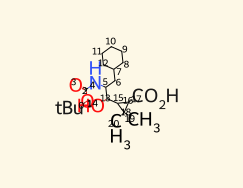 CC(C)(C)OC(=O)NC(CC1CCCCC1)C(O)C1C(C(=O)O)C1(C)C